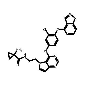 NC1(C(=O)NCCn2ccc3ncnc(Nc4ccc(Oc5cccc6sncc56)c(Cl)c4)c32)CC1